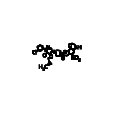 CC1CC1COc1c(N2CCN(S(=O)(=O)Cc3cc4c(cc3[N+](=O)[O-])NCCO4)CC2)cnn(-c2cccc(Cl)c2)c1=O